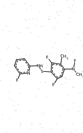 Cc1c(N(C)F)cc(F)c(SNc2cccc(F)n2)c1F